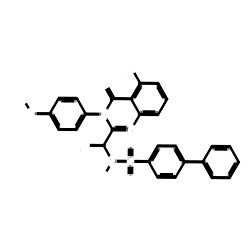 COc1ccc(-n2c(C(C)N(C)S(=O)(=O)c3ccc(-c4ccccc4)cc3)nc3cccc(C)c3c2=O)cc1